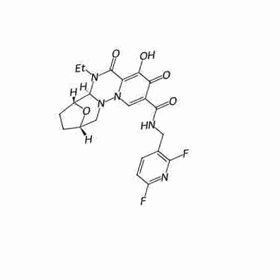 CCN1C(=O)c2c(O)c(=O)c(C(=O)NCc3ccc(F)nc3F)cn2N2C[C@@H]3CC[C@@H](O3)[C@@H]12